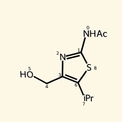 CC(=O)Nc1nc(CO)c(C(C)C)s1